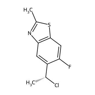 Cc1nc2cc([C@@H](C)Cl)c(F)cc2s1